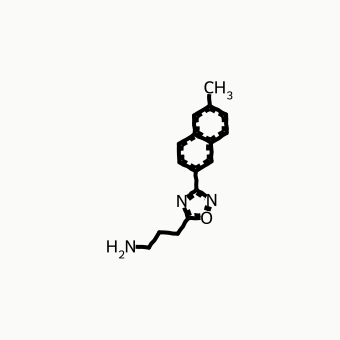 Cc1ccc2cc(-c3noc(CCCN)n3)ccc2c1